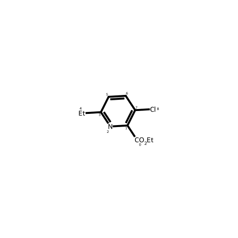 CCOC(=O)c1nc(CC)ccc1Cl